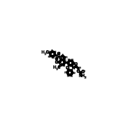 Cc1ccc(S(=O)(=O)n2ccc3c(-c4ccc5oc(COC(N)=O)nc5c4Oc4ccccc4)cn(C)c(=O)c32)cc1